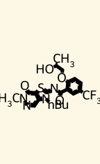 CCCCn1c(=NC(=O)c2cc(C(F)(F)F)ccc2OC[C@H](C)O)sc2c(=O)n(C)ncc21